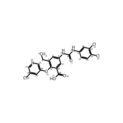 CCc1cc(NC(=O)Nc2ccc(Cl)c(Cl)c2)cc(C(=O)O)c1Oc1cncc(Cl)c1